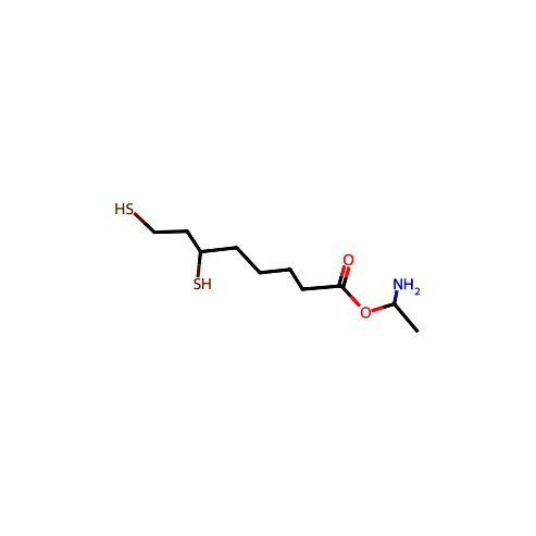 CC(N)OC(=O)CCCCC(S)CCS